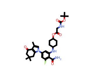 Cc1cn(-c2cc(F)c(C(N)=O)c(NC3CCC(OC(=O)CNC(=O)OC(C)(C)C)CC3)c2)c2c1C(=O)CC(C)(C)C2